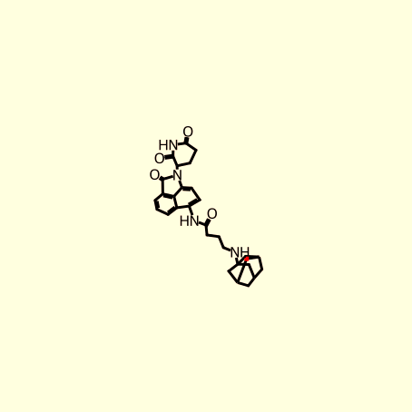 O=C1CCC(N2C(=O)c3cccc4c(NC(=O)CCCNC56CC7CC(CC(C7)C5)C6)ccc2c34)C(=O)N1